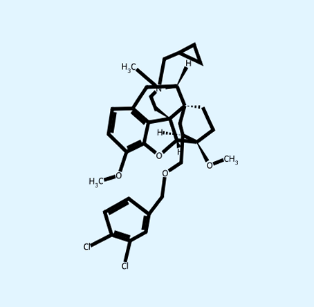 COc1ccc2c3c1O[C@H]1[C@@]4(OC)CC[C@@]5(C[C@@H]4COCc4ccc(Cl)c(Cl)c4)[C@@H](C2)[N+](C)(CC2CC2)CC[C@]315